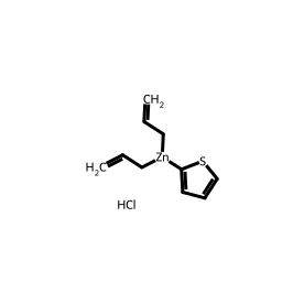 C=C[CH2][Zn]([CH2]C=C)[c]1cccs1.Cl